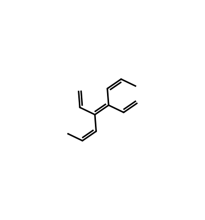 C=CC(/C=C\C)=C(C=C)\C=C/C